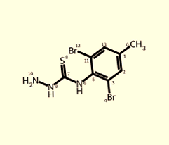 Cc1cc(Br)c(NC(=S)NN)c(Br)c1